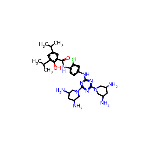 CC(C)c1cc(C(=O)Nc2ccc(Nc3nc(N4CC(N)CC(N)C4)nc(N4CC(N)CC(N)C4)n3)cc2Cl)c(O)c(C(C)C)c1